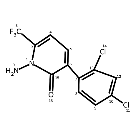 Nn1c(C(F)(F)F)ccc(-c2ccc(Cl)cc2Cl)c1=O